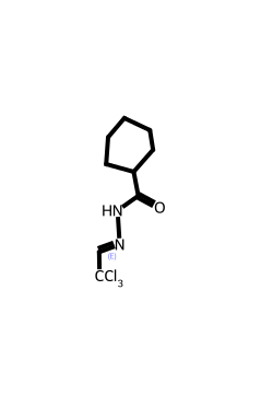 O=C(N/N=C/C(Cl)(Cl)Cl)C1CCCCC1